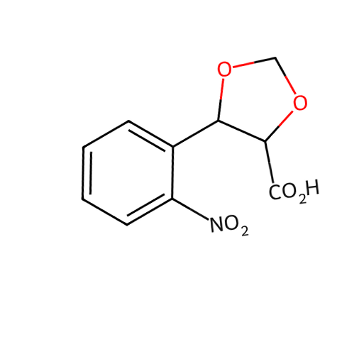 O=C(O)C1OCOC1c1ccccc1[N+](=O)[O-]